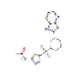 CC(=O)Nc1ncc(S(=O)(=O)N2CCCC(c3cc4ncccc4[nH]3)C2)s1